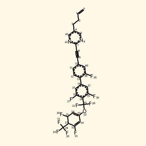 C=CCCc1cnc(C#Cc2ccc(-c3cc(F)c(C(F)(F)OC4=CC(F)C(C(F)(F)F)C(F)=C4)c(F)c3)c(F)c2)nc1